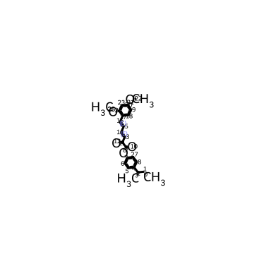 CCC(C)c1ccc(OC(=O)C(=O)/C=C/C=C/c2ccc(OC)cc2OC)cc1